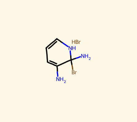 Br.NC1=CC=CNC1(N)Br